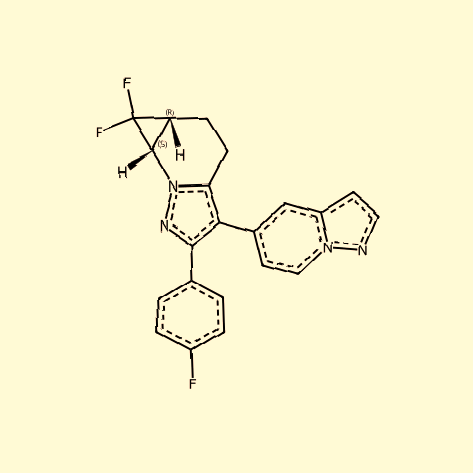 Fc1ccc(-c2nn3c(c2-c2ccn4nccc4c2)CC[C@@H]2[C@H]3C2(F)F)cc1